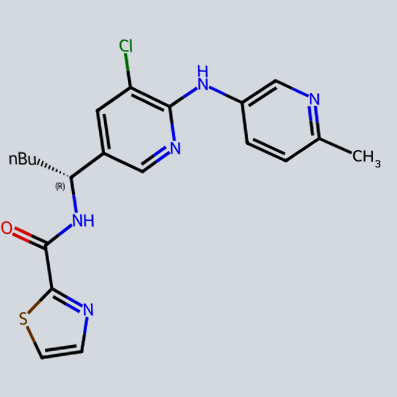 CCCC[C@@H](NC(=O)c1nccs1)c1cnc(Nc2ccc(C)nc2)c(Cl)c1